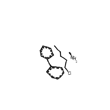 CCCCCCl.CN.c1ccc(-c2ccccc2)cc1